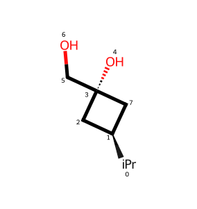 CC(C)[C@H]1C[C@@](O)(CO)C1